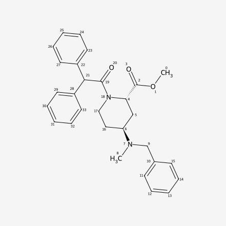 COC(=O)[C@@H]1C[C@@H](N(C)Cc2ccccc2)CCN1C(=O)C(c1ccccc1)c1ccccc1